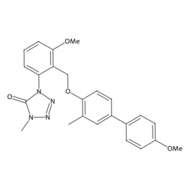 COc1ccc(-c2ccc(OCc3c(OC)cccc3-n3nnn(C)c3=O)c(C)c2)cc1